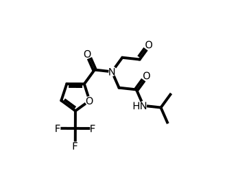 CC(C)NC(=O)CN(CC=O)C(=O)c1ccc(C(F)(F)F)o1